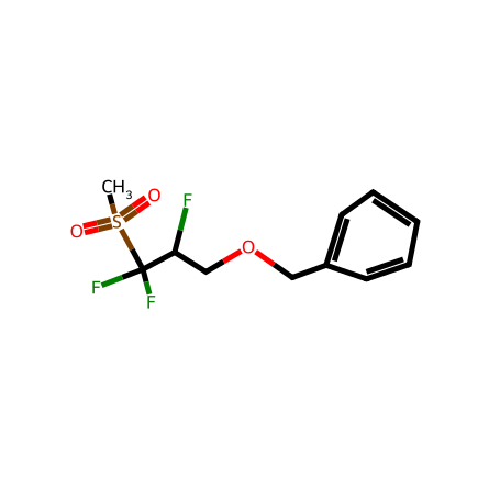 CS(=O)(=O)C(F)(F)C(F)COCc1ccccc1